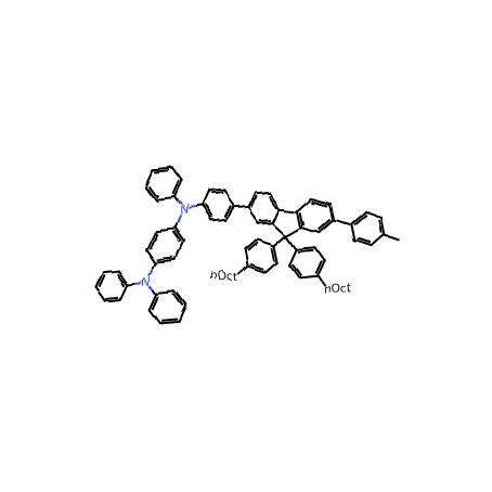 CCCCCCCCc1ccc(C2(c3ccc(CCCCCCCC)cc3)c3cc(-c4ccc(C)cc4)ccc3-c3ccc(-c4ccc(N(c5ccccc5)c5ccc(N(c6ccccc6)c6ccccc6)cc5)cc4)cc32)cc1